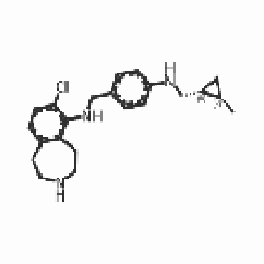 C[C@@H]1C[C@H]1CNc1ccc(CNc2c(Cl)ccc3c2CCNCC3)cc1